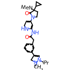 CNC1(C2CC2)CCN(C2=CCNC(NC(=O)Cc3cccc(C4=CN(C(C)C)N(C)C4)c3)=C2)C1=O